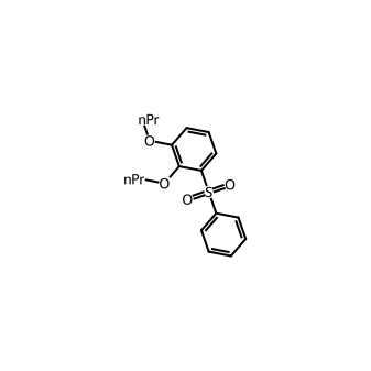 CCCOc1cccc(S(=O)(=O)c2ccccc2)c1OCCC